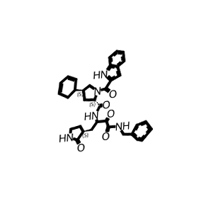 O=C(NCc1ccccc1)C(=O)C(C[C@@H]1CCNC1=O)NC(=O)[C@@H]1C[C@@H](C2C=CC=CC2)CN1C(=O)c1cc2ccccc2[nH]1